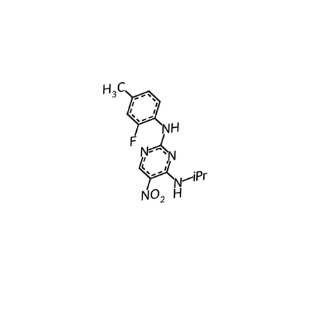 Cc1ccc(Nc2ncc([N+](=O)[O-])c(NC(C)C)n2)c(F)c1